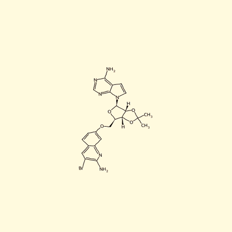 CC1(C)O[C@@H]2[C@H](O1)[C@@H](COc1ccc3cc(Br)c(N)nc3c1)O[C@H]2n1ccc2c(N)ncnc21